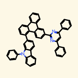 c1ccc(-c2cc(-c3ccccc3)nc(-c3ccc4c(c3)c3ccccc3c3cccc(-c5ccc6c7ccccc7n(-c7ccccc7)c6c5)c34)n2)cc1